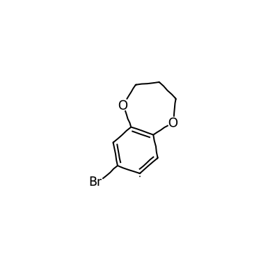 Brc1[c]cc2c(c1)OCCCO2